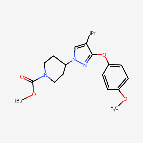 CC(C)c1cn(C2CCN(C(=O)OC(C)(C)C)CC2)nc1Oc1ccc(OC(F)(F)F)cc1